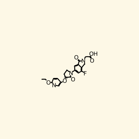 CCOc1ccc(O[C@@H]2CCN(c3cc(F)c4c(c3)C(=O)N(CC(=O)O)C4)C2=O)cn1